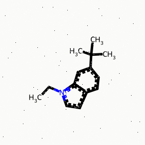 CCn1ccc2ccc(C(C)(C)C)cc21